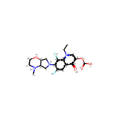 CCn1cc(OC(=O)O)c(=O)c2cc(F)c(N3CC4OCCN(C)C4C3)c(F)c21